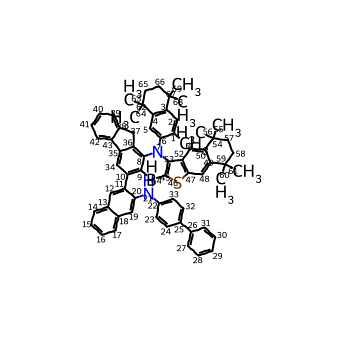 Cc1cc2c(cc1N1c3c(c(-c4cc5ccccc5cc4Nc4ccc(-c5ccccc5)cc4)cc4c3Cc3ccccc3-4)Bc3sc4cc5c(cc4c31)C(C)(C)CCC5(C)C)C(C)(C)CCC2(C)C